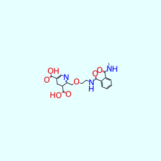 CNC(=O)c1ccccc1C(=O)NCCOCC1=NC=C(C(=O)O)CC1C(=O)O